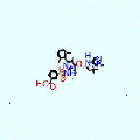 Cc1cccc(C)c1-c1nc(NS(=O)(=O)c2cccc(C(=O)O)c2)nc(OC[C@@H](CC(C)(C)C)Nc2cnn(C)c2)c1C